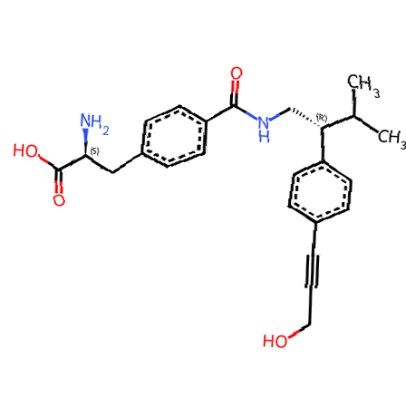 CC(C)[C@@H](CNC(=O)c1ccc(C[C@H](N)C(=O)O)cc1)c1ccc(C#CCO)cc1